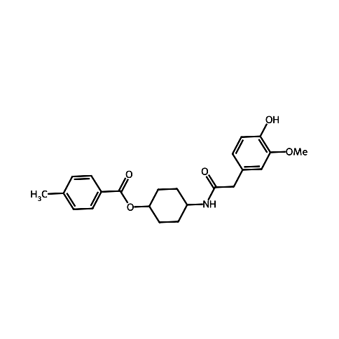 COc1cc(CC(=O)NC2CCC(OC(=O)c3ccc(C)cc3)CC2)ccc1O